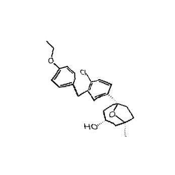 CCOc1ccc(Cc2cc([C@@]34CC[C@@](C)(C[C@H](O)C3)O4)ccc2Cl)cc1